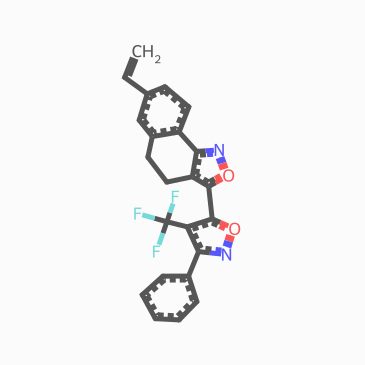 C=Cc1ccc2c(c1)CCc1c-2noc1-c1onc(-c2ccccc2)c1C(F)(F)F